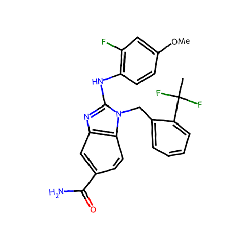 COc1ccc(Nc2nc3cc(C(N)=O)ccc3n2Cc2ccccc2C(C)(F)F)c(F)c1